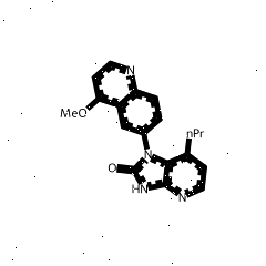 CCCc1ccnc2[nH]c(=O)n(-c3ccc4nccc(OC)c4c3)c12